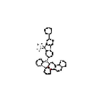 CC1(C)c2cc(-c3ccccc3)ccc2-c2ccc(N(c3ccc4ccc5ccccc5c4c3)c3ccccc3-c3ccccc3)cc21